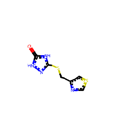 O=c1[nH]nc(SCc2cscn2)[nH]1